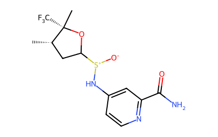 C[C@H]1CC([S+]([O-])Nc2ccnc(C(N)=O)c2)O[C@@]1(C)C(F)(F)F